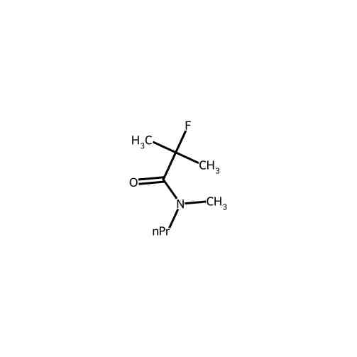 CCCN(C)C(=O)C(C)(C)F